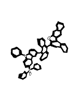 O=P(c1ccccc1)(c1ccccc1)c1ccc2c(c1)c1cc(-c3c4ccccc4c(-c4cc5ccccc5c5c4oc4cc6ccccc6cc45)c4ccccc34)ccc1n2-c1ccccc1